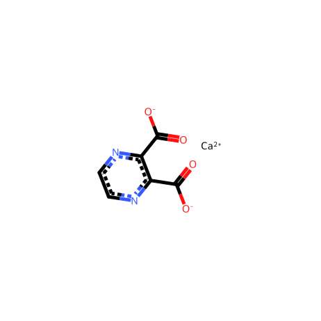 O=C([O-])c1nccnc1C(=O)[O-].[Ca+2]